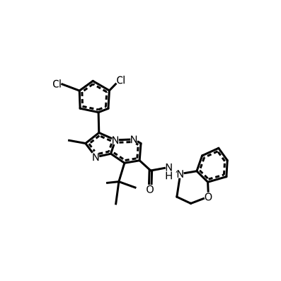 Cc1nc2c(C(C)(C)C)c(C(=O)NN3CCOc4ccccc43)cnn2c1-c1cc(Cl)cc(Cl)c1